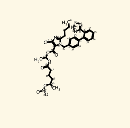 CCCCc1nc(Cl)c(C(=O)OC(C)OC(=O)CCCC(C)O[N+](=O)[O-])n1Cc1ccc(-c2ccccc2-c2nn[nH]n2)cc1